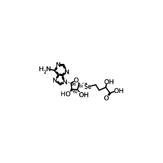 Nc1ncnc2c1ncn2[C@@H]1O[C@H](C[Se]CCC(O)C(=O)O)[C@@H](O)[C@H]1O